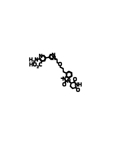 Cn1c(=O)n(C2CCC(=O)NC2=O)c2cccc(CCCOCCn3cc(-c4cnc(N)c(C(=O)O)c4)cn3)c21